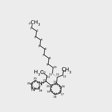 CCCCCCCCCCCC[C@H](CC)c1ccccc1C(CC)n1ccnc1